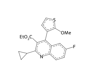 CCOC(=O)c1c(C2CC2)nc2ccc(F)cc2c1-c1ccsc1OC